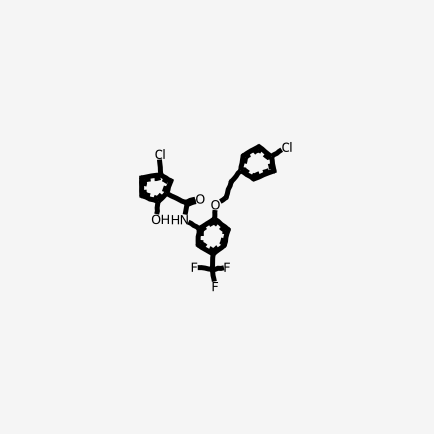 O=C(Nc1cc(C(F)(F)F)ccc1OCCc1ccc(Cl)cc1)c1cc(Cl)ccc1O